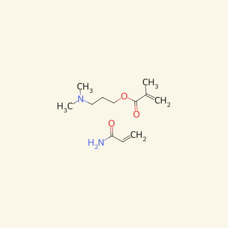 C=C(C)C(=O)OCCCN(C)C.C=CC(N)=O